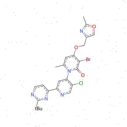 Cc1nc(COc2cc(C)n(-c3cc(-c4ccnc(C(C)(C)C)n4)ncc3Cl)c(=O)c2Br)co1